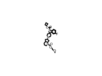 COCCOC(=O)N1CCCC2CC(N3CCC4(CC3)CN(C(=O)OC3CCC3)c3ccc(F)cc34)CC21